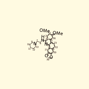 COc1cc2c(NCCN3CCCCC3)nc3c4cc5c(cc4ccc3c2cc1OC)OCO5